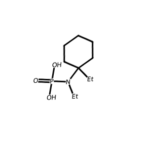 CCN(C1(CC)CCCCC1)P(=O)(O)O